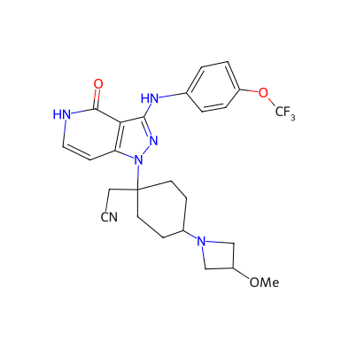 COC1CN(C2CCC(CC#N)(n3nc(Nc4ccc(OC(F)(F)F)cc4)c4c(=O)[nH]ccc43)CC2)C1